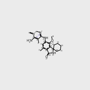 C=N/C(N)=C(C)\C(=N/C)Nc1cc(C)c2c(c1OC)C1(CCCCC1)NC2=O